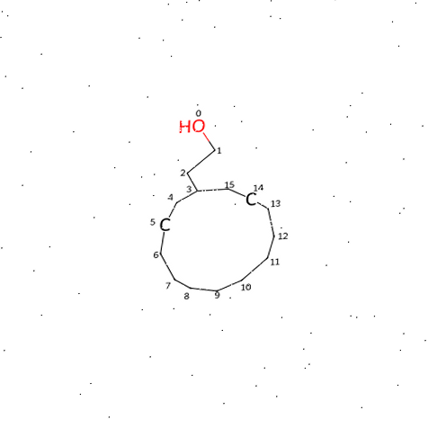 OCCC1CCCCCCCCCCCC1